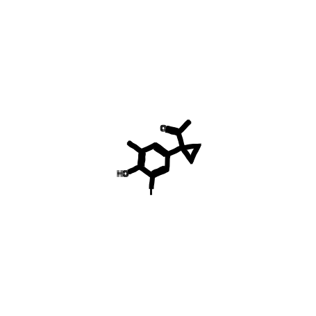 CC(=O)C1(c2cc(C)c(O)c(I)c2)CC1